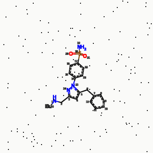 CCC(C)NCc1cc(Cc2ccccc2)n(-c2ccc(S(N)(=O)=O)cc2)n1